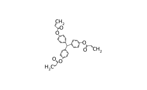 C=CC(=O)Oc1ccc(C(c2ccc(OC(=O)C=C)cc2)c2ccc(OC(=O)C=C)cc2)cc1